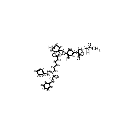 CC(=O)NC[C@H]1CN(c2ccc(OCC3(OC(=O)CCCCCN(OCc4ccccc4)C(=O)OCc4ccccc4)CCNCC3)c(F)c2)C(=O)O1